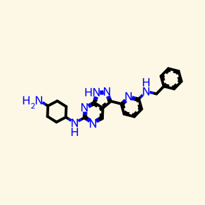 NC1CCC(Nc2ncc3c(-c4cccc(NCc5ccccc5)n4)n[nH]c3n2)CC1